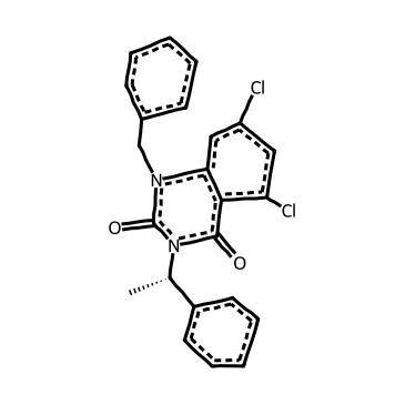 C[C@@H](c1ccccc1)n1c(=O)c2c(Cl)cc(Cl)cc2n(Cc2ccccc2)c1=O